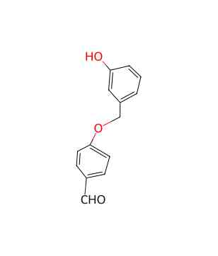 O=Cc1ccc(OCc2cccc(O)c2)cc1